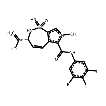 C=C(O)[C@H]1C=Cc2c(cn(C)c2C(=O)Nc2cc(F)c(F)c(F)c2)S(=N)(=O)N1